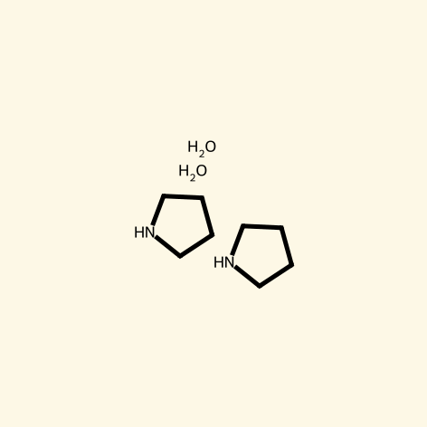 C1CCNC1.C1CCNC1.O.O